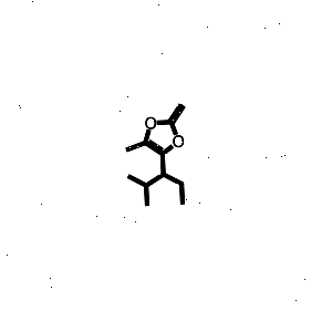 C=C1OC(C)=C(C(CC)C(C)C)O1